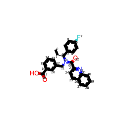 CC[C@H](c1ccc(F)cc1)N(Cc1cccc(C(=O)O)c1)C(=O)c1ccc2ccccc2n1